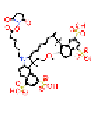 C=C(/C=C/C=C/C=C1/N(CCCCCC(=O)ON2C(=O)CCC2=O)c2ccc3c(S(=O)(=O)O)cc(S(=O)(=O)O)cc3c2C1(C)CCOC)C(C)(C)c1c(C)ccc2c(S(=O)(=O)O)cc(S(=O)(=O)O)cc12